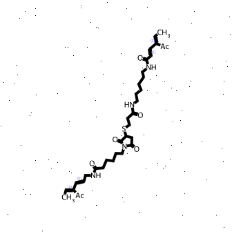 C/C=C(/C=C/CNC(=O)CCCCCN1C(=O)CC(SCCC(=O)NCCCCCCNC(=O)/C=C/C(=C/C)C(C)=O)C1=O)C(C)=O